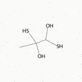 CC(O)(S)C(O)S